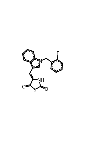 O=C1NC(=Cc2cn(Cc3ccccc3F)c3ccccc23)C(=O)S1